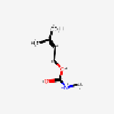 CCNC(=O)OCC=C(C)C(=O)O